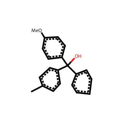 COc1ccc(C(O)(c2ccccc2)c2ccc(C)cc2)cc1